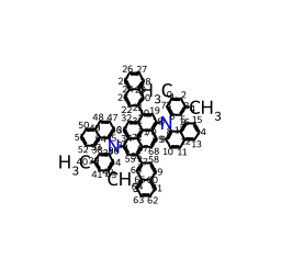 Cc1cc(C)cc(N(c2cccc3ccccc23)c2cc(-c3ccc4ccccc4c3)c3ccc4c(N(c5cc(C)cc(C)c5)c5cccc6ccccc56)cc(-c5ccc6ccccc6c5)c5ccc2c3c54)c1